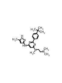 Cc1cc(Nc2cc(N(C)CCN(C)C)nc(-c3ccc(C(C)(C)C)cc3)n2)n[nH]1